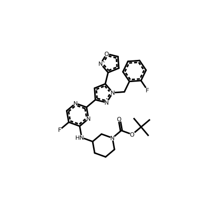 CC(C)(C)OC(=O)N1CCCC(Nc2nc(-c3cc(-c4ccon4)n(Cc4ccccc4F)n3)ncc2F)C1